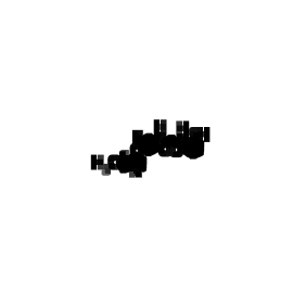 CC1Cc2nccc(Oc3ccc(NC(=O)CC(=O)Nc4ccccc4S)cc3F)c2S1